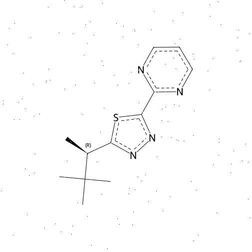 C[C@@H](c1nnc(-c2ncccn2)s1)C(C)(C)C